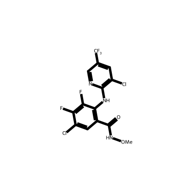 CONC(=O)c1cc(Cl)c(F)c(F)c1Nc1ncc(C(F)(F)F)cc1Cl